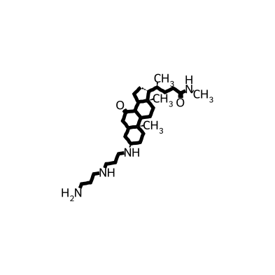 CNC(=O)CC[C@@H](C)[C@H]1CCC2C3C(=O)CC4C[C@@H](NCCCNCCCN)CC[C@]4(C)C3CC[C@@]21C